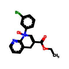 CCOC(=O)C1=C[N+]([O-])(c2cccc(Br)c2)c2ncccc2C1